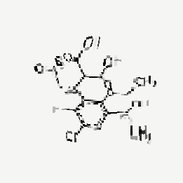 CCOc1c([C@@H](C)O)cc(Cl)c(F)c1[C@H](C[N+](=O)[O-])C(C(=O)O)C(=O)O